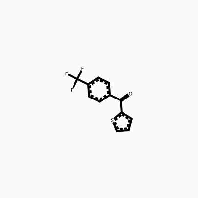 O=C(c1ccc(C(F)(F)F)cc1)c1cccs1